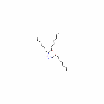 CCCCCCC1C[N+](C)([O-])C(CCCCCC)C(CCCCCC)O1